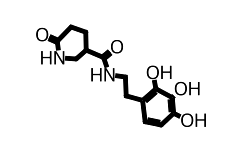 O=C1CCC(C(=O)NCCc2ccc(O)c(O)c2O)CN1